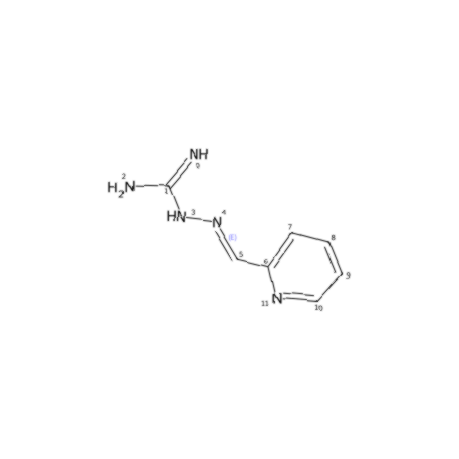 N=C(N)N/N=C/c1ccccn1